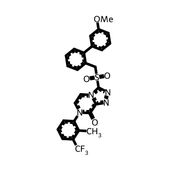 COc1cccc(-c2ccccc2CS(=O)(=O)c2nnc3c(=O)n(-c4cccc(C(F)(F)F)c4C)ccn23)c1